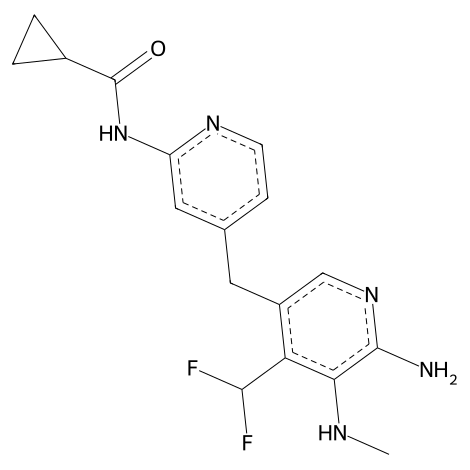 CNc1c(N)ncc(Cc2ccnc(NC(=O)C3CC3)c2)c1C(F)F